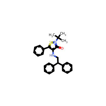 CC(C)(C)n1sc(-c2ccccc2)c(NCC(c2ccccc2)c2ccccc2)c1=O